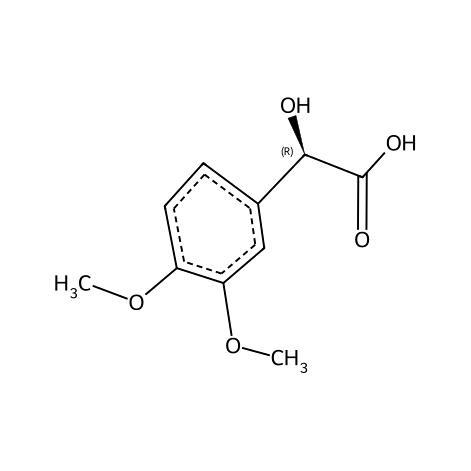 COc1ccc([C@@H](O)C(=O)O)cc1OC